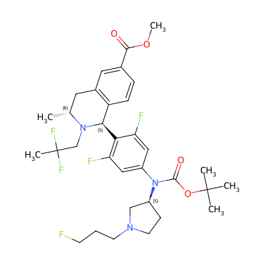 COC(=O)c1ccc2c(c1)C[C@@H](C)N(CC(C)(F)F)[C@@H]2c1c(F)cc(N(C(=O)OC(C)(C)C)[C@H]2CCN(CCCF)C2)cc1F